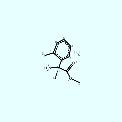 COC(=O)[C@@](C)(N)c1ccccc1Cl.Cl